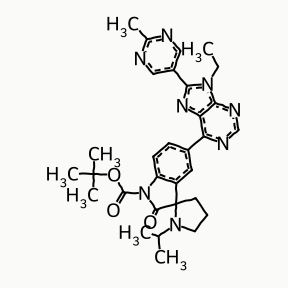 CCn1c(-c2cnc(C)nc2)nc2c(-c3ccc4c(c3)C3(CCCN3C(C)C)C(=O)N4C(=O)OC(C)(C)C)ncnc21